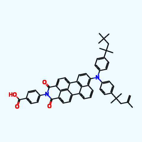 C=C(C)CC(C)(C)c1ccc(N(c2ccc(C(C)(C)CC(C)(C)C)cc2)c2ccc3c4ccc5c6c(ccc(c7cccc2c73)c64)C(=O)N(c2ccc(C(=O)O)cc2)C5=O)cc1